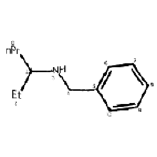 CCC[C](CC)NCc1ccccc1